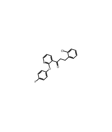 O=C(CCc1ccccc1Cl)c1cccnc1Oc1ccc(F)cc1